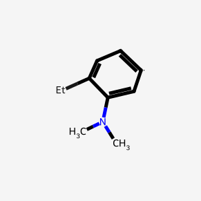 CCc1cc[c]cc1N(C)C